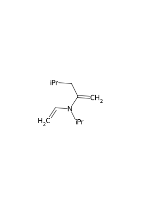 C=CN(C(=C)CC(C)C)C(C)C